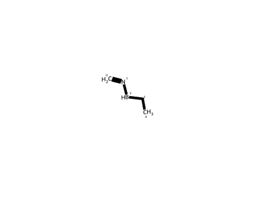 C=NBCC